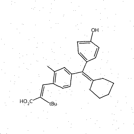 Cc1cc(C(=C2CCCCC2)c2ccc(O)cc2)ccc1C=C(C(=O)O)C(C)(C)C